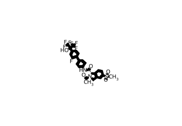 CC(=O)N1Cc2cc(S(C)(=O)=O)ccc2[C@H]1C(=O)Nc1ccc(-c2ccc(C(O)(C(F)(F)F)C(F)(F)F)cc2F)cc1